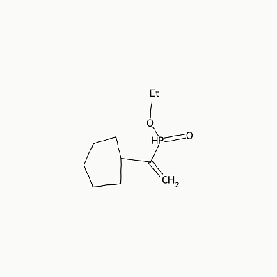 C=C(C1CCCCC1)[PH](=O)OCC